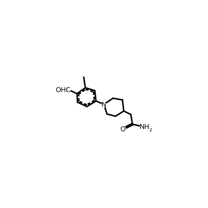 Cc1cc(N2CCC(CC(N)=O)CC2)ccc1C=O